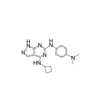 CN(C)c1ccc(Nc2nc(NC3CCC3)c3cn[nH]c3n2)cc1